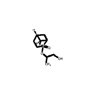 CC(CO)OP1(=O)CC[C@@H]2CC1[C@H]2C